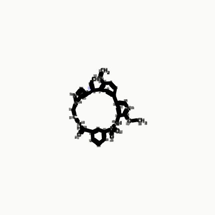 C=Nc1ccc2cc1/C(=C\C)c1cnn(c1)CCNC(=O)c1cccc(c1)S(=O)(=O)Nc1cc-2cnc1OC